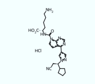 Cl.N#CC[C@H](C1CCCC1)n1cc(-c2ncnc3c2ccn3C(=O)N[C@@H](CCCCN)C(=O)O)cn1